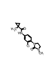 CN1CCN(c2ccc(NC(=O)C3(C)CC3)cc2Cl)C1=O